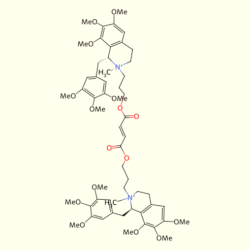 COc1cc(C[C@@H]2c3c(cc(OC)c(OC)c3OC)CC[N+]2(C)CCCOC(=O)/C=C/C(=O)OCCC[N@+]2(C)CCc3cc(OC)c(OC)c(OC)c3[C@H]2Cc2cc(OC)c(OC)c(OC)c2)cc(OC)c1OC